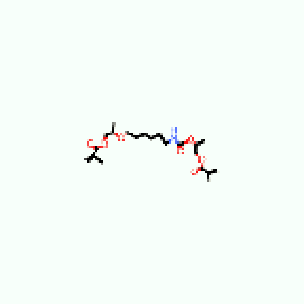 C=C(C)C(=O)OCC(C)OCCCCCCNC(=O)OC(C)COC(=O)C(=C)C